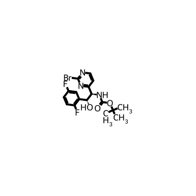 CC(C)(C)OC(=O)N[C@H](c1ccnc(Br)n1)[C@H](O)c1cc(F)ccc1F